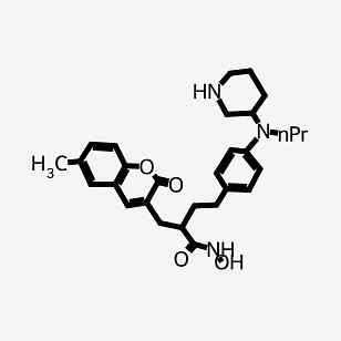 CCCN(c1ccc(CCC(Cc2cc3cc(C)ccc3oc2=O)C(=O)NO)cc1)C1CCCNC1